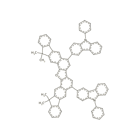 CC1(C)c2ccccc2-c2cc3c(-c4ccc5c(c4)c4ccccc4n5-c4ccccc4)cc4c5cc(-c6ccc7c(c6)c6ccccc6n7-c6ccccc6)c6cc7c(cc6c5oc4c3cc21)C(C)(C)c1ccccc1-7